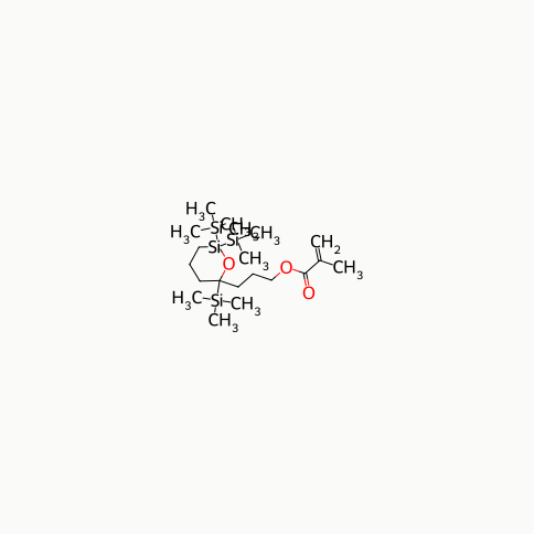 C=C(C)C(=O)OCCCC1([Si](C)(C)C)CCC[Si]([Si](C)(C)C)([Si](C)(C)C)O1